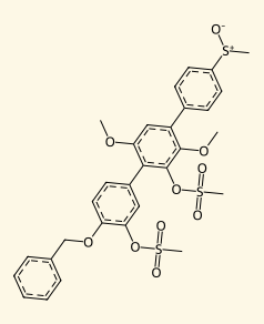 COc1cc(-c2ccc([S+](C)[O-])cc2)c(OC)c(OS(C)(=O)=O)c1-c1ccc(OCc2ccccc2)c(OS(C)(=O)=O)c1